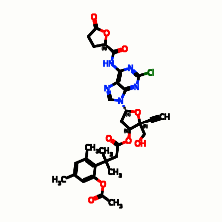 C#C[C@]1(CO)O[C@@H](n2cnc3c(NC(=O)[C@H]4CCC(=O)O4)nc(Cl)nc32)C[C@@H]1OC(=O)CC(C)(C)c1c(C)cc(C)cc1OC(C)=O